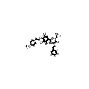 CCOC(=O)[C@H](CCc1ccccc1)NC(=O)c1cc(Cl)c(OCCN2CCN(C)CC2)c(Cl)c1O